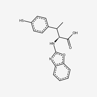 CC(c1ccc(S)cc1)[C@H](Nc1nc2ccccc2o1)C(=O)O